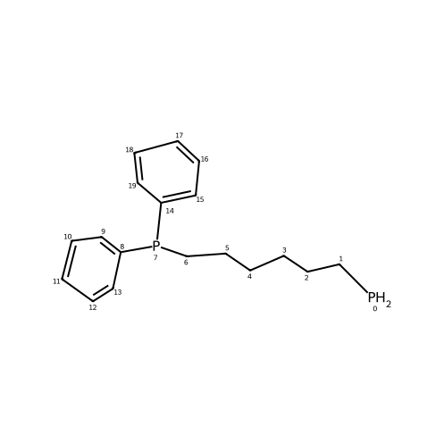 PCCCCCCP(c1ccccc1)c1ccccc1